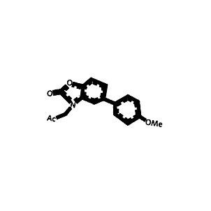 COc1ccc(-c2ccc3oc(=O)n(CC(C)=O)c3c2)cc1